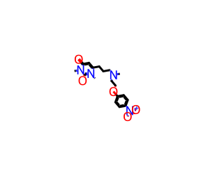 CN(CCCc1cc(=O)n(C)c(=O)n1C)CCOc1ccc([N+](=O)[O-])cc1